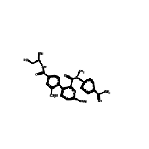 COc1ccc(-c2ccc(C(=O)NC(CO)C(C)(C)C)cc2C(=O)O)c(C(=O)N(C)c2ccc(C(=N)N)cc2)n1